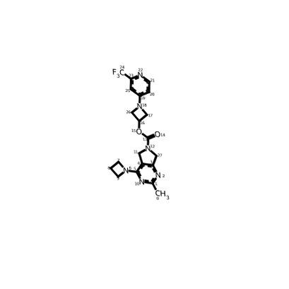 Cc1nc2c(c(N3CCC3)n1)CN(C(=O)OC1CN(c3ccnc(C(F)(F)F)c3)C1)C2